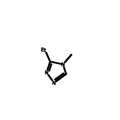 CCc1nncn1C